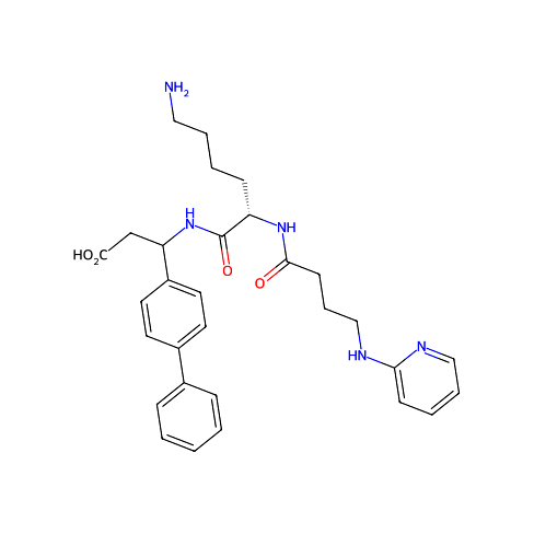 NCCCC[C@H](NC(=O)CCCNc1ccccn1)C(=O)NC(CC(=O)O)c1ccc(-c2ccccc2)cc1